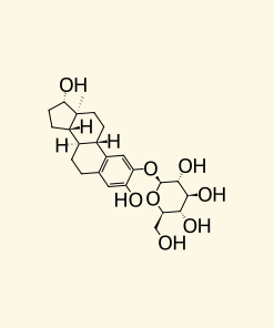 C[C@]12CC[C@@H]3c4cc(O[C@@H]5O[C@H](CO)[C@@H](O)[C@H](O)[C@H]5O)c(O)cc4CC[C@H]3[C@@H]1CC[C@@H]2O